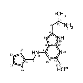 C[C@H](N)Cc1cc2c(NCc3nccs3)nc(Cl)nc2[nH]1.Cl